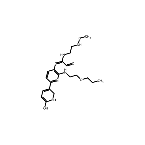 CCCOCCNc1nc(C2=CC=C(O)NC2)ccc1/N=C(\C=O)NCCNOC